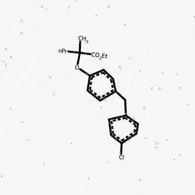 CCCC(C)(Oc1ccc(Cc2ccc(Cl)cc2)cc1)C(=O)OCC